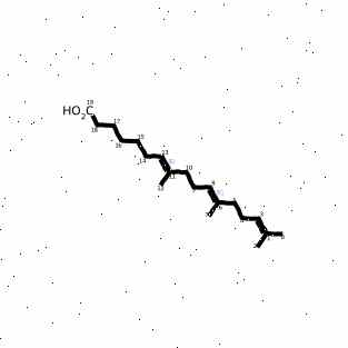 CC(C)=CCC/C(C)=C/CC/C(C)=C/CCCCCC(=O)O